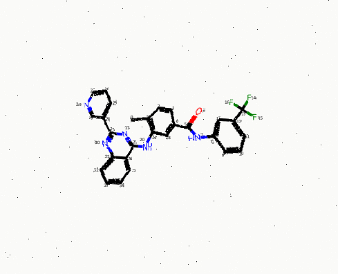 Cc1ccc(C(=O)Nc2cccc(C(F)(F)F)c2)cc1Nc1nc(-c2cccnc2)nc2ccccc12